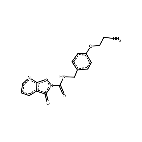 NCCOc1ccc(CNC(=O)n2sc3ncccc3c2=O)cc1